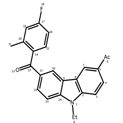 CCn1c2ccc(C(C)=O)cc2c2cc(C(=O)c3ccc(F)cc3C)ccc21